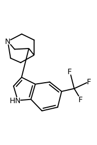 FC(F)(F)c1ccc2[nH]cc(C3CN4CCC3CC4)c2c1